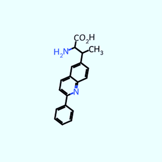 CC(c1ccc2nc(-c3ccccc3)ccc2c1)C(N)C(=O)O